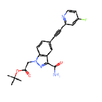 CC(C)(C)OC(=O)Cn1nc(C(N)=O)c2cc(C#Cc3cc(F)ccn3)ccc21